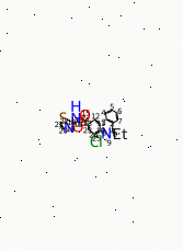 CCC(c1ccccc1)N(C)c1ccc(S(=O)(=O)Nc2nccs2)cc1Cl